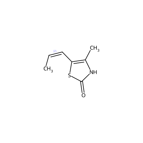 C/C=C\c1sc(=O)[nH]c1C